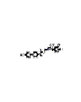 C[C@@H](/C=C/COC(=O)N(C)C1CCN(c2ncc(C#N)cn2)CC1)Nc1cn[nH]c(=O)c1C(F)(F)F